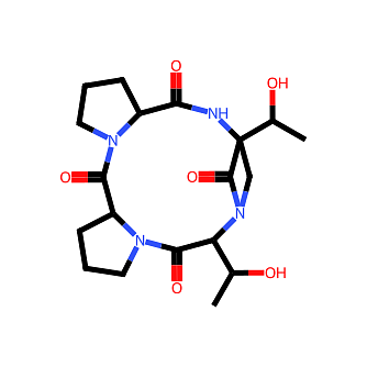 CC(O)C1C(=O)N2CCCC2C(=O)N2CCCC2C(=O)NC2(C(C)O)CN1C2=O